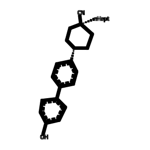 CCCCCCC[C@]1(C#N)CC[C@H](c2ccc(-c3ccc(O)cc3)cc2)CC1